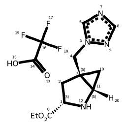 CCOC(=O)[C@@H]1C[C@]2(Cn3cncn3)C[C@@H]2N1.O=C(O)C(F)(F)F